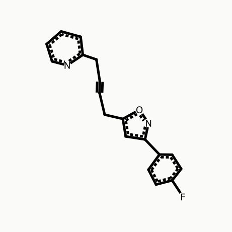 Fc1ccc(-c2cc(CC#CCc3ccccn3)on2)cc1